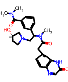 CN(C)C(=O)c1cccc(C(CN2CC[C@H](O)C2)N(C)C(=O)Cc2ccc3ncc(=O)[nH]c3c2)c1